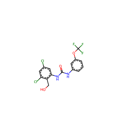 O=C(Nc1cccc(OC(F)(F)F)c1)Nc1cc(Cl)cc(Cl)c1CO